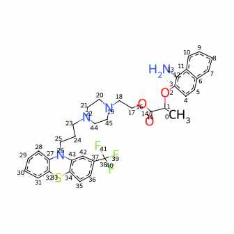 CC(Oc1ccc2ccccc2c1N)C(=O)OCCN1CCN(CCCN2c3ccccc3Sc3ccc(C(F)(F)F)cc32)CC1